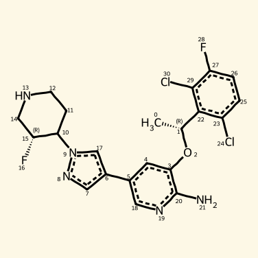 C[C@@H](Oc1cc(-c2cnn(C3CCNC[C@H]3F)c2)cnc1N)c1c(Cl)ccc(F)c1Cl